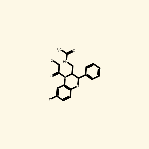 O=C(CCl)N1c2cc(F)ccc2OC(c2ccccc2)C1CNC(=O)C(F)(F)F